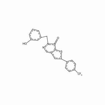 O=c1c2sc(-c3ccc(C(F)(F)F)cc3)cc2cnn1Cc1cccc(O)c1